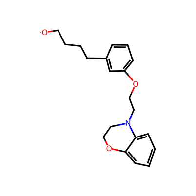 [O]CCCCc1cccc(OCCN2CCOc3ccccc32)c1